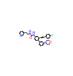 O=C(NCCc1cccnc1)Nc1ccc(-c2cccc(N3CCOCC3)c2)c(C#Cc2ccc(F)cc2)c1